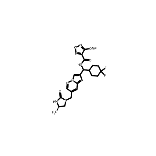 COc1nonc1C(=O)NC(c1cn2ncc(CN3C[C@@H](C(F)(F)F)NC3=O)cc2n1)C1CCC(F)(F)CC1